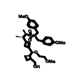 COCCO[C@@H](C1=CC([C@H](C)[C@@H](C)S(=O)(=O)N(Cc2ccc(OC)cc2)Cc2ccc(OC)cc2)C1)[C@@H]1CCC1CO